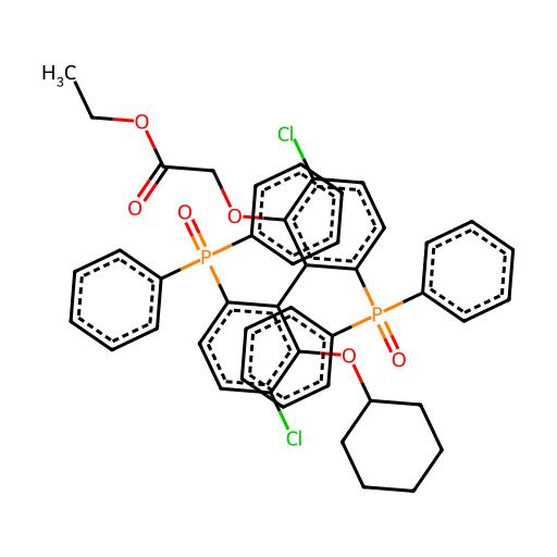 CCOC(=O)COc1c(Cl)ccc(P(=O)(c2ccccc2)c2ccccc2)c1-c1c(P(=O)(c2ccccc2)c2ccccc2)ccc(Cl)c1OC1CCCCC1